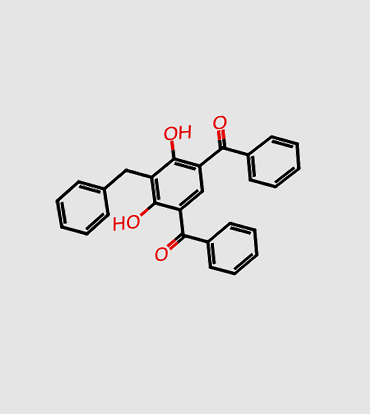 O=C(c1ccccc1)c1cc(C(=O)c2ccccc2)c(O)c(Cc2ccccc2)c1O